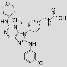 CC1(Nc2ncc3nc(Nc4cccc(Cl)c4)n(-c4ccc(CNC(=O)O)cc4)c3n2)CCOCC1